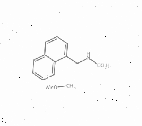 COC.O=C(O)NCc1cccc2ccccc12